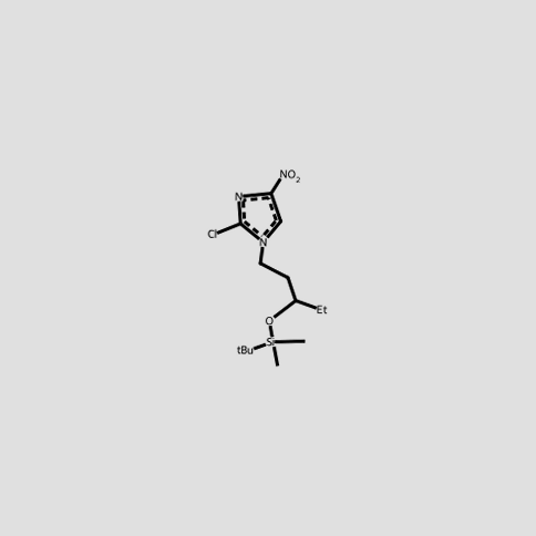 CCC(CCn1cc([N+](=O)[O-])nc1Cl)O[Si](C)(C)C(C)(C)C